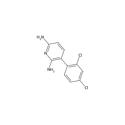 Nc1ccc(-c2ccc(Cl)cc2Cl)c(N)n1